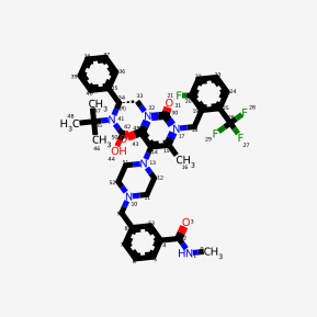 CNC(=O)c1cccc(CN2CCN(c3c(C)n(Cc4c(F)cccc4C(F)(F)F)c(=O)n(C[C@@H](c4ccccc4)N(C(=O)O)C(C)(C)C)c3=O)CC2)c1